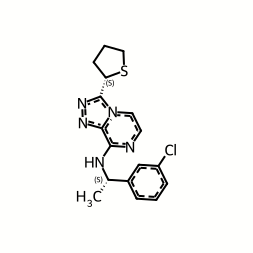 C[C@H](Nc1nccn2c([C@@H]3CCCS3)nnc12)c1cccc(Cl)c1